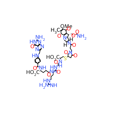 COC1=C(C)C(=O)C2=C(C1=O)[C@H](COC(N)=O)C1[C@H]3[C@@H](CN21)N3C(=O)CCN1C(=O)CC(SC[C@@H](NC(=O)CNC(=O)[C@@H](CCCNC(=N)N)NC(=O)CC[C@@H](NC(=O)c2ccc(NCc3cnc4nc(N)[nH]c(=O)c4n3)cc2)C(=O)O)C(=O)O)C1=O